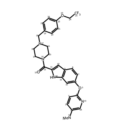 CNc1ccc(Oc2ccc3cc(C(=O)N4CCN(Cc5ccc(OCC(F)(F)F)cc5)CC4)[nH]c3c2)nc1